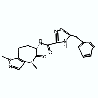 CN1C(=O)[C@@H](NC(=O)c2nnc(Cc3ccccc3)[nH]2)CCc2c1cnn2C